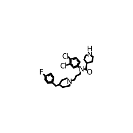 O=C(C1CCNCC1)N(CCCN1CCC(Cc2ccc(F)cc2)CC1)c1ccc(Cl)c(Cl)c1